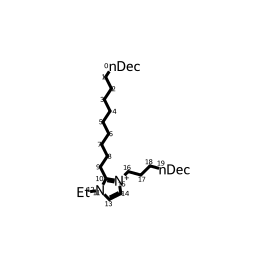 CCCCCCCCCCCCCCCCCCCc1n(CC)cc[n+]1CCCCCCCCCCCCC